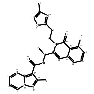 Cc1noc(CCn2c([C@H](C)NC(=O)c3c(C)nn4cccnc34)cc3cccc(Cl)c3c2=O)n1